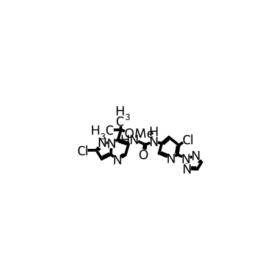 COC(C)(C)c1c(NC(=O)Nc2cnc(-n3nccn3)c(Cl)c2)cnc2cc(Cl)nn12